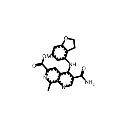 COC(=O)c1cc2c(Nc3cccc4c3CCO4)c(C(N)=O)cnc2c(C)n1